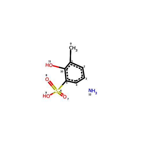 Cc1cccc(S(=O)(=O)O)c1O.N